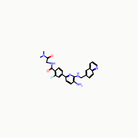 CN(C)C(=O)CNC(=O)c1ccc(-c2ccc(N)c(NCc3ccc4ncccc4c3)n2)cc1F